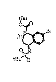 CC(C)(C)OC(=O)[C@@H]1NCC(=NS(=O)(=O)C(C)(C)C)c2ccc(Br)cc21